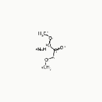 COCC(=O)OOC.[NaH]